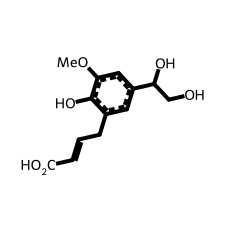 COc1cc(C(O)CO)cc(CC=CC(=O)O)c1O